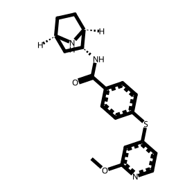 COc1cc(Sc2ccc(C(=O)N[C@@H]3C[C@H]4CC[C@@H]3N4)cc2)ccn1